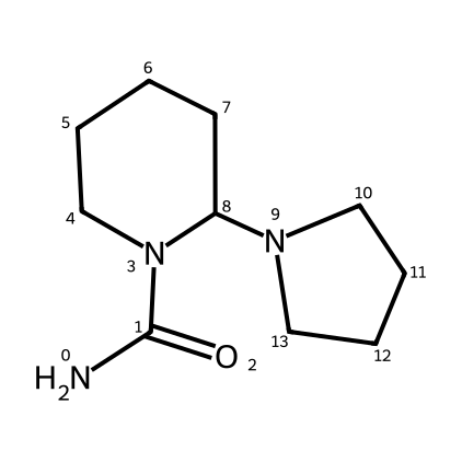 NC(=O)N1CCCCC1N1CCCC1